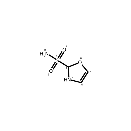 NS(=O)(=O)C1NC=CO1